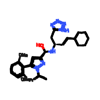 COc1cccc(OC)c1-c1cc(C(O)N[C@@H](CCC2CCCCC2)Cc2nnn[nH]2)nn1C(C)C(C)C